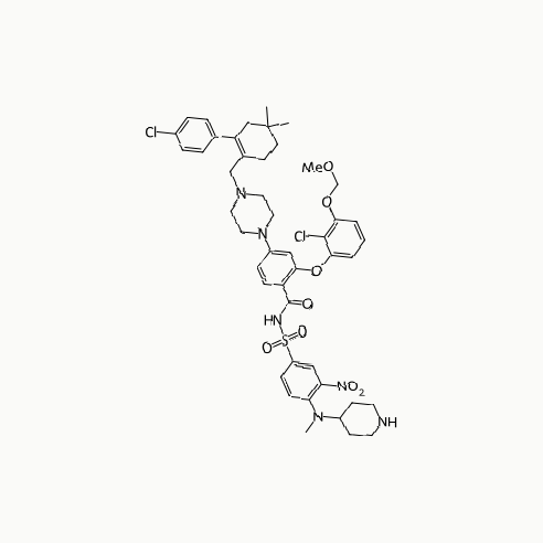 COCOc1cccc(Oc2cc(N3CCN(CC4=C(c5ccc(Cl)cc5)CC(C)(C)CC4)CC3)ccc2C(=O)NS(=O)(=O)c2ccc(N(C)C3CCNCC3)c([N+](=O)[O-])c2)c1Cl